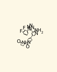 Nc1ncc(C2=CCN(C(=O)C3CCC(=O)N3)CC2)cc1-c1nnnn1-c1cccc(F)c1F